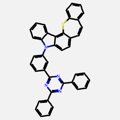 C1=Cc2ccc3c(c2Sc2ccccc21)c1ccccc1n3-c1cccc(-c2nc(-c3ccccc3)nc(-c3ccccc3)n2)c1